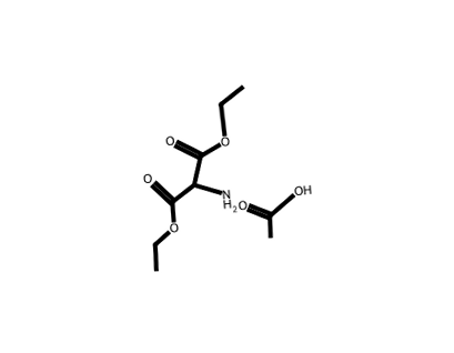 CC(=O)O.CCOC(=O)C(N)C(=O)OCC